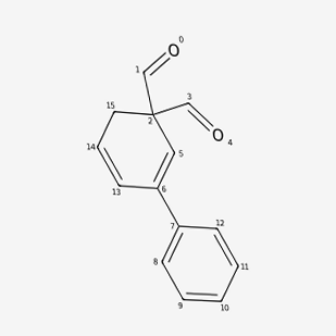 O=CC1(C=O)C=C(c2ccccc2)C=CC1